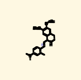 CCCCOc1cc2c(cc1OC)C(/C=C/c1ccc(N(C)C)cc1C)NCC2